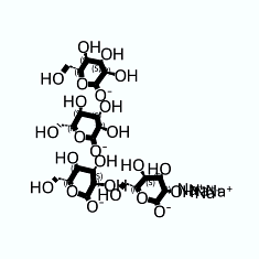 [Na+].[Na+].[Na+].[Na+].[O-]C1O[C@H](CO)[C@@H](O)[C@H](O)[C@H]1O.[O-]C1O[C@H](CO)[C@@H](O)[C@H](O)[C@H]1O.[O-]C1O[C@H](CO)[C@@H](O)[C@H](O)[C@H]1O.[O-]C1O[C@H](CO)[C@@H](O)[C@H](O)[C@H]1O